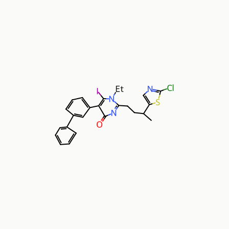 CCn1c(CCC(C)c2cnc(Cl)s2)nc(=O)c(-c2cccc(-c3ccccc3)c2)c1I